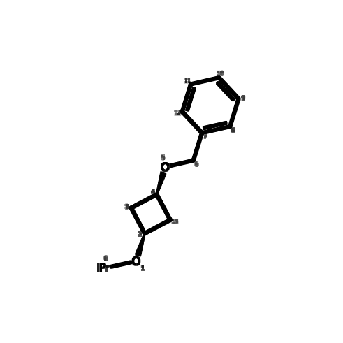 CC(C)O[C@H]1C[C@@H](OCc2ccccc2)C1